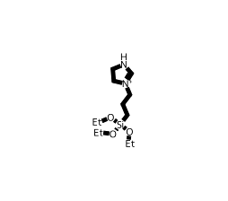 CCO[Si](CCC[N+]1=CNCC1)(OCC)OCC